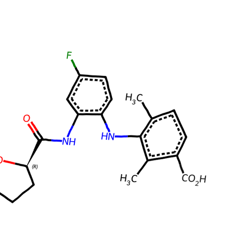 Cc1ccc(C(=O)O)c(C)c1Nc1ccc(F)cc1NC(=O)[C@H]1CCCO1